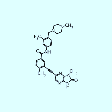 Cc1ccc(C(=O)Nc2ccc(CN3CCN(C)CC3)c(C(F)(F)F)c2)cc1C#Cc1cnc2[nH]c(=O)n(C)c2n1